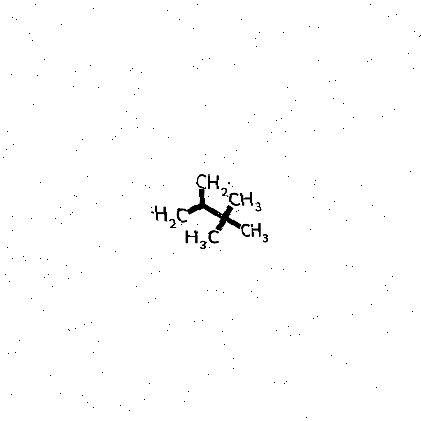 [CH2]C([CH2])C(C)(C)C